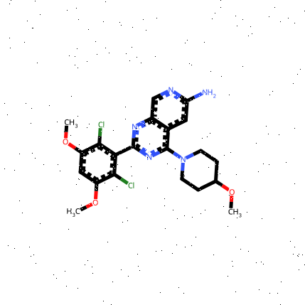 COc1cc(OC)c(Cl)c(-c2nc(N3CCC(OC)CC3)c3cc(N)ncc3n2)c1Cl